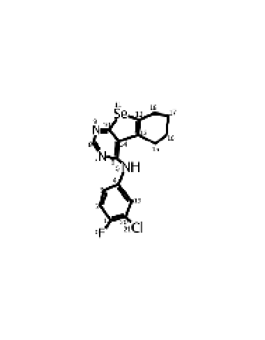 Fc1ccc(Nc2ncnc3[se]c4c(c23)CCCC4)cc1Cl